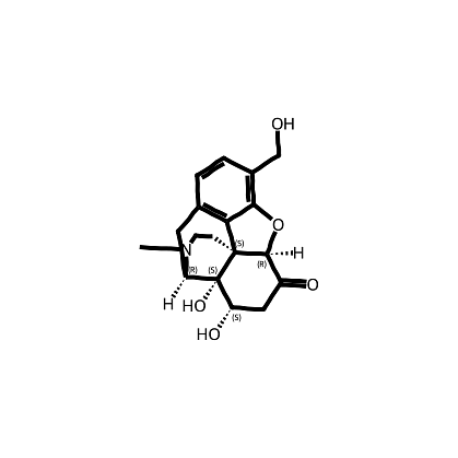 CN1CC[C@]23c4c5ccc(CO)c4O[C@H]2C(=O)C[C@H](O)[C@@]3(O)[C@H]1C5